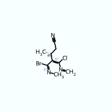 C=N/C(Cl)=C(\C(Br)=N/C)[C@H](C)CC#N